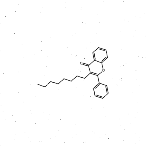 CCCCCCCCc1c(-c2ccccc2)oc2ccccc2c1=O